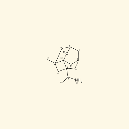 CC(N)C12CC3CC4CC(C)(C1)C2(C4)C3